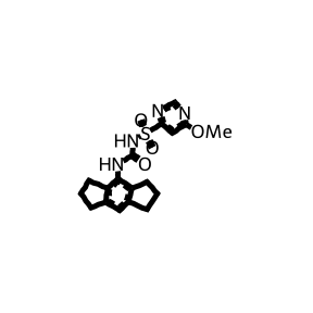 COc1cc(S(=O)(=O)NC(=O)Nc2c3c(cc4c2CCC4)CCC3)ncn1